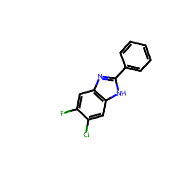 Fc1cc2nc(-c3ccccc3)[nH]c2cc1Cl